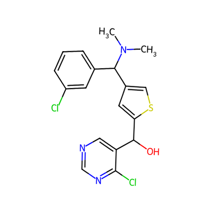 CN(C)C(c1cccc(Cl)c1)c1csc(C(O)c2cncnc2Cl)c1